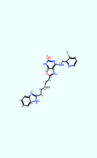 Oc1nc(NCc2ncccc2F)c2nc(CC[AsH]CCc3nc4ccccc4[nH]3)oc2n1